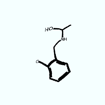 CC(O)NCc1ccccc1Cl